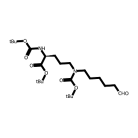 CC(C)(C)OC(=O)N[C@@H](CCCN(CCCCCC=O)C(=O)OC(C)(C)C)C(=O)OC(C)(C)C